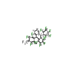 Fc1c(F)c(F)c(-c2c3ccccc3c(-c3c(F)c(F)c(C(F)(F)F)c(F)c3F)c3c(F)c(F)c(F)c(F)c23)c(F)c1F